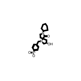 O=C1N(C2CCCCC2)CCC12C[C@@H](O)CN2Cc1ccc([N+](=O)[O-])cc1